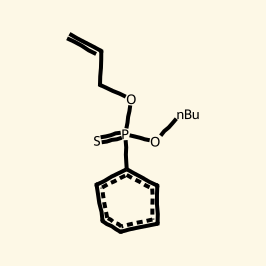 C=CCOP(=S)(OCCCC)c1ccccc1